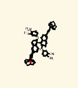 Nc1ccc(Oc2ccc3cc(C#CC45CC6CC(CC(C6)C4)C5)ccc3c2-c2c(Oc3ccc(N)c(O)c3)ccc3cc(C#CC45CC6CC(CC(C6)C4)C5)ccc23)cc1O